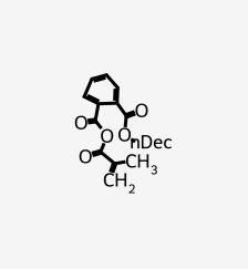 C=C(C)C(=O)OC(=O)c1ccccc1C(=O)OCCCCCCCCCC